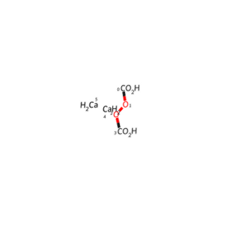 O=C(O)OOC(=O)O.[CaH2].[CaH2]